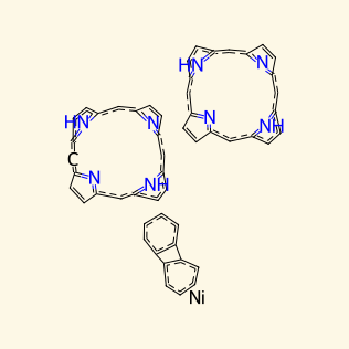 C1=Cc2cc3ccc(cc4nc(cc5ccc(cc1n2)[nH]5)C=C4)[nH]3.C1=Cc2cc3ccc(cc4nc(cc5ccc(cc1n2)[nH]5)C=C4)[nH]3.[Ni].c1ccc2c(c1)-c1ccccc1-2